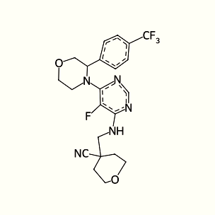 N#CC1(CNc2ncnc(N3CCOCC3c3ccc(C(F)(F)F)cc3)c2F)CCOCC1